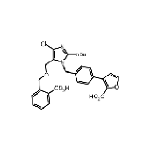 CCCCc1nc(Cl)c(COCc2ccccc2C(=O)O)n1Cc1ccc(-c2ccoc2C(=O)O)cc1